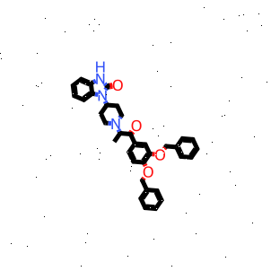 CC(C(=O)c1ccc(OCc2ccccc2)c(OCc2ccccc2)c1)N1CCC(n2c(=O)[nH]c3ccccc32)CC1